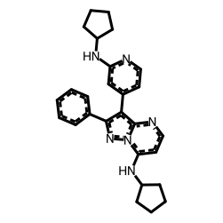 c1ccc(-c2nn3c(NC4CCCC4)ccnc3c2-c2ccnc(NC3CCCC3)c2)cc1